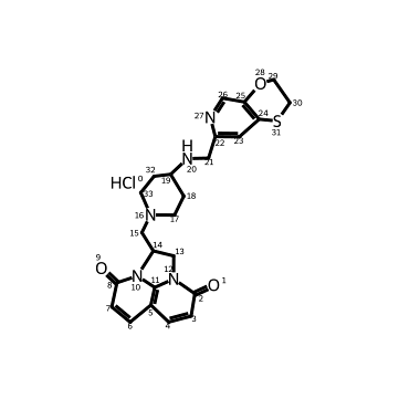 Cl.O=c1ccc2ccc(=O)n3c2n1CC3CN1CCC(NCc2cc3c(cn2)OCCS3)CC1